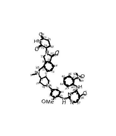 COc1cc(N2CCC(N(C)Cc3cccc4c3CN(C3CCC(=O)NC3=O)C4=O)CC2)ccc1Nc1ncc(Cl)c(Nc2ccccc2P(C)(C)=O)n1